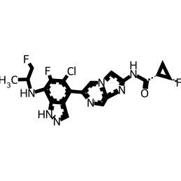 CC(CF)Nc1c(F)c(Cl)c(-c2cn3cc(NC(=O)[C@@H]4C[C@@H]4F)nc3cn2)c2cn[nH]c12